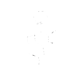 COC(=O)C1(Sc2ccccc2)C[C@@H](O)[C@@H](C)C([C@H](O)[C@H](O)CO)O1